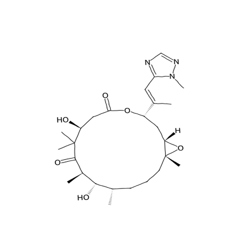 C/C(=C\c1ncnn1C)[C@@H]1C[C@@H]2O[C@]2(C)CCC[C@H](C)[C@H](O)[C@@H](C)C(=O)C(C)(C)[C@@H](O)CC(=O)O1